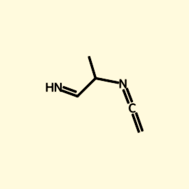 C=C=NC(C)C=N